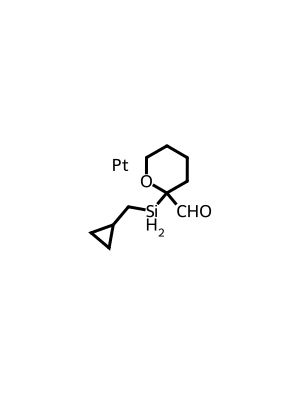 O=CC1([SiH2]CC2CC2)CCCCO1.[Pt]